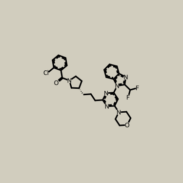 O=C(c1ccccc1Cl)N1CC[C@H](CCCc2nc(N3CCOCC3)cc(-n3c(C(F)F)nc4ccccc43)n2)C1